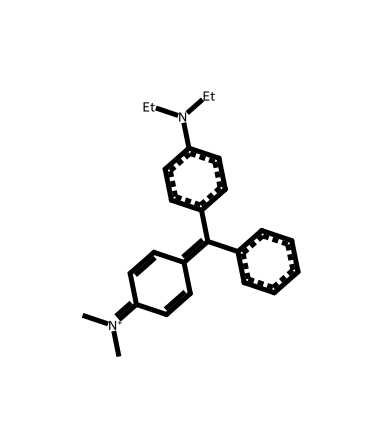 CCN(CC)c1ccc(C(=C2C=CC(=[N+](C)C)C=C2)c2ccccc2)cc1